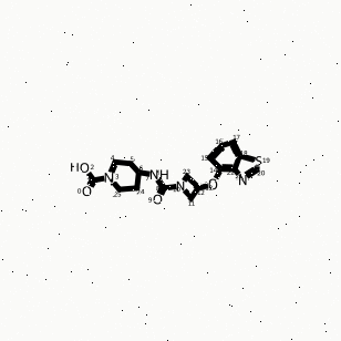 O=C(O)N1CCC(NC(=O)N2CC(Oc3cccc4scnc34)C2)CC1